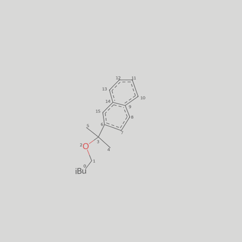 CCC(C)COC(C)(C)c1ccc2ccccc2c1